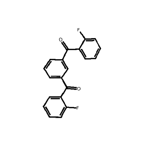 O=C(c1cccc(C(=O)c2ccccc2F)c1)c1ccccc1F